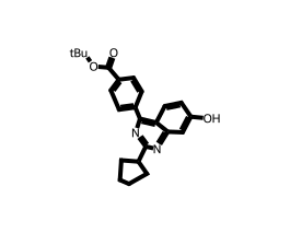 CC(C)(C)OC(=O)c1ccc(-c2nc(C3CCCC3)nc3cc(O)ccc23)cc1